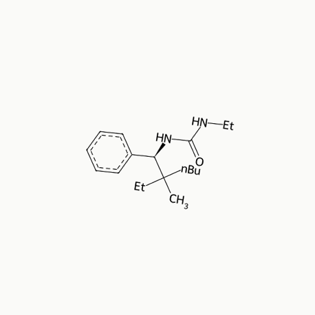 CCCCC(C)(CC)[C@H](NC(=O)NCC)c1ccccc1